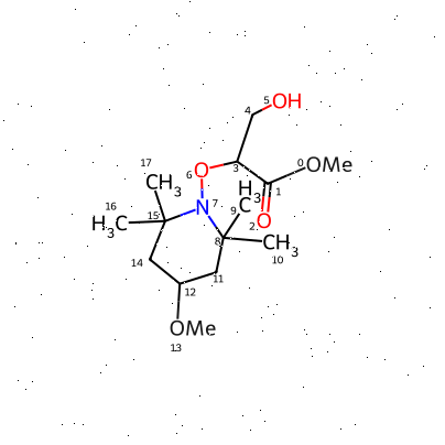 COC(=O)C(CO)ON1C(C)(C)CC(OC)CC1(C)C